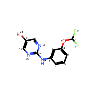 FC(F)Oc1cccc(Nc2ncc(Br)cn2)c1